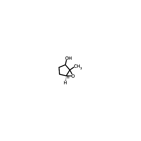 CC12O[C@H]1CCC2O